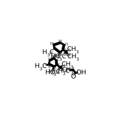 CCC(=O)O.Cc1cccc(C(C)(C)C)c1O.Cc1cccc(C(C)(C)C)c1O